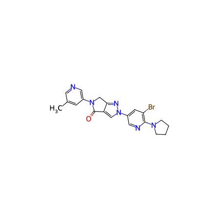 Cc1cncc(N2Cc3nn(-c4cnc(N5CCCC5)c(Br)c4)cc3C2=O)c1